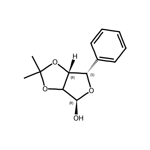 CC1(C)OC2[C@H](O)O[C@@H](c3ccccc3)[C@H]2O1